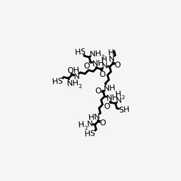 CCNC(=O)C(CCCCNC(=O)C(CCCCNC(=O)C(N)CS)NC(=O)C(N)CS)NC(=O)C(CCCCNC(=O)C(N)CS)NC(=O)C(N)CS